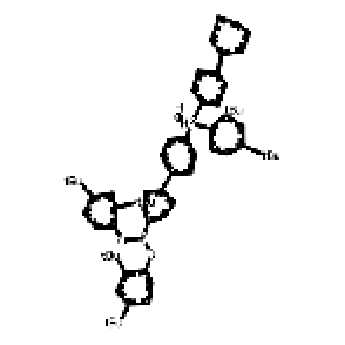 CC(C)(C)c1ccc(OP(Oc2ccc(C(C)(C)C)cc2C(C)(C)C)c2ccc(-c3ccc([PH](O)(c4ccc(-c5ccccc5)cc4)c4ccc(C(C)(C)C)cc4C(C)(C)C)cc3)cc2)c(C(C)(C)C)c1